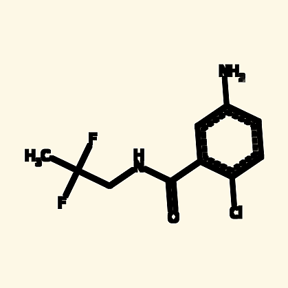 CC(F)(F)CNC(=O)c1cc(N)ccc1Cl